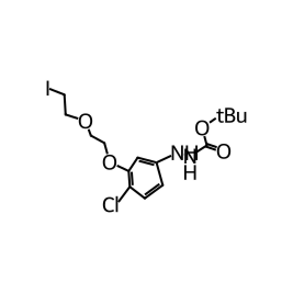 CC(C)(C)OC(=O)NNc1ccc(Cl)c(OCCOCCI)c1